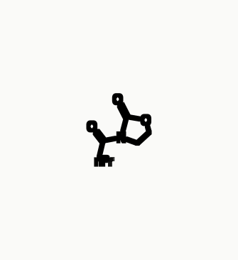 CCCC(=O)N1CCOC1=O